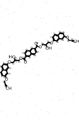 C#CCOc1ccc2ccc(OCC(O)COC(=O)c3ccc4cc(C(=O)OCC(O)COc5ccc6ccc(OCC#C)cc6c5)ccc4c3)cc2c1